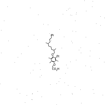 CCc1c(C)c(OCC(=O)O)c(C)c(C)c1OCC(C)CCCC(C)CCCC(C)C